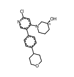 O[C@H]1CCCN(c2cc(Cl)ncc2-c2ccc(C3CCOCC3)cc2)C1